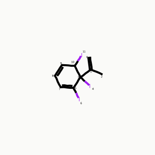 C=C(C)C1(I)C(I)=CC=CC1I